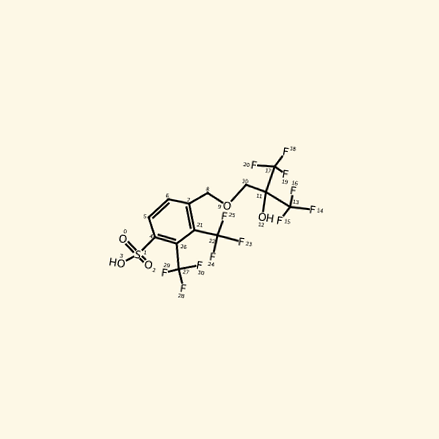 O=S(=O)(O)c1ccc(COCC(O)(C(F)(F)F)C(F)(F)F)c(C(F)(F)F)c1C(F)(F)F